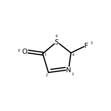 O=C1C=NC(F)S1